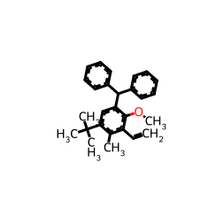 C=Cc1c(C)c(C(C)(C)C)cc(C(c2ccccc2)c2ccccc2)c1OC